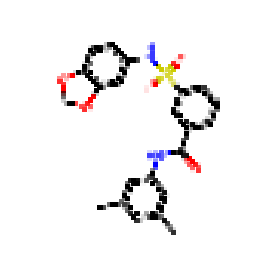 Cc1cc(C)cc(NC(=O)c2cccc(S(=O)(=O)Nc3ccc4c(c3)OCO4)c2)c1